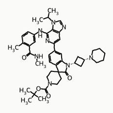 CNC(=O)c1cc(Nc2nc(-c3ccc4c(c3)N([C@H]3C[C@@H](N5CCCCC5)C3)C(=O)C43CCN(C(=O)OC(C)(C)C)CC3)cc3ncn(C(C)C)c23)ccc1C